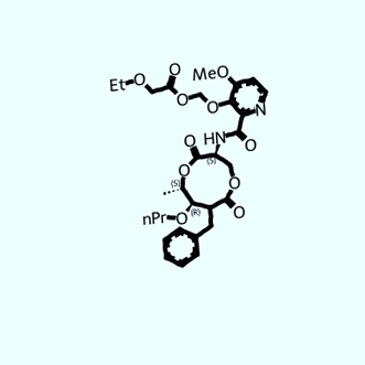 CCCO[C@@H]1C(Cc2ccccc2)C(=O)OC[C@H](NC(=O)c2nccc(OC)c2OCOC(=O)COCC)C(=O)O[C@H]1C